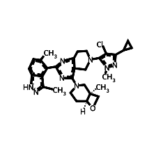 Cc1ccc2[nH]nc(C)c2c1-c1nc2c(c(N3CC[C@@H]4OC[C@]4(C)C3)n1)CN(c1c(Cl)c(C3CC3)nn1C)CC2